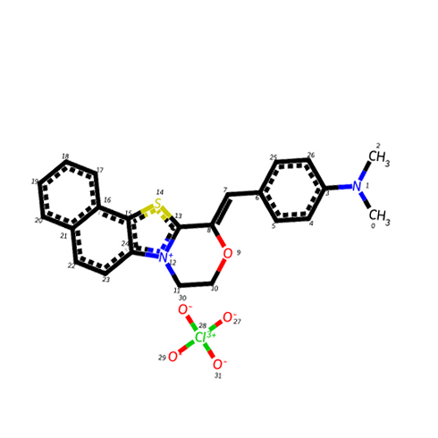 CN(C)c1ccc(C=C2OCC[n+]3c2sc2c4ccccc4ccc23)cc1.[O-][Cl+3]([O-])([O-])[O-]